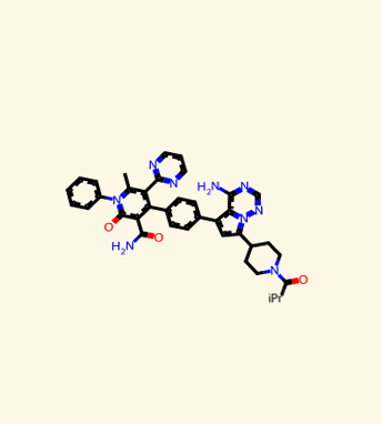 Cc1c(-c2ncccn2)c(-c2ccc(-c3cc(C4CCN(C(=O)C(C)C)CC4)n4ncnc(N)c34)cc2)c(C(N)=O)c(=O)n1-c1ccccc1